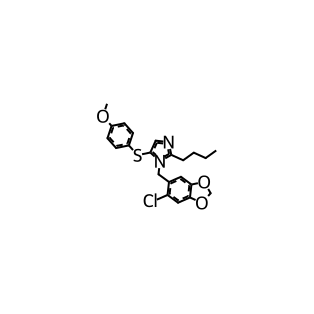 CCCCc1ncc(Sc2ccc(OC)cc2)n1Cc1cc2c(cc1Cl)OCO2